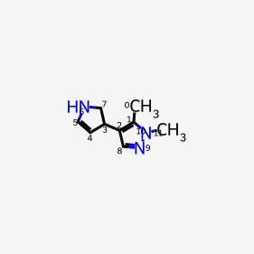 Cc1c(C2C=CNC2)cnn1C